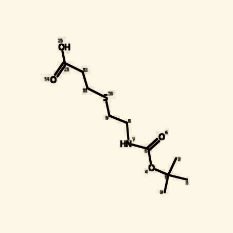 CC(C)(C)OC(=O)NCCSCCC(=O)O